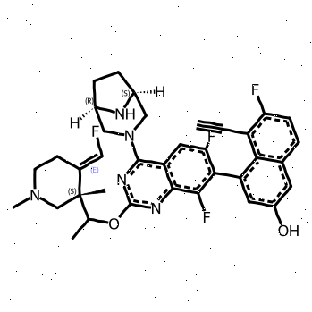 C#Cc1c(F)ccc2cc(O)cc(-c3c(F)cc4c(N5C[C@H]6CC[C@@H](C5)N6)nc(OC(C)[C@]5(C)CN(C)CC/C5=C\F)nc4c3F)c12